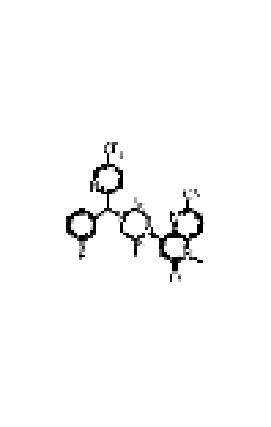 C[C@@H]1CN(c2cc(=O)n(C)c3ccc(C#N)nc23)[C@@H](C)CN1C(c1cccc(F)c1)c1ccc(C(F)(F)F)cn1